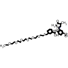 C=C(C=O)/C=C(\NC)c1cc(NC)ccc1NC(O)c1cccc(CSCCOCCOCCOCCOCCOCCOCCC)c1